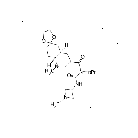 CCCN(C(=O)NC1CN(C)C1)C(=O)[C@@H]1C[C@@H]2CC3(CC[C@H]2N(C)C1)OCCO3